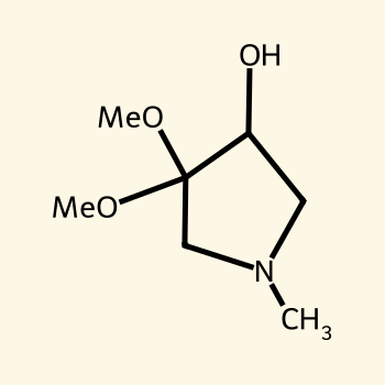 COC1(OC)CN(C)CC1O